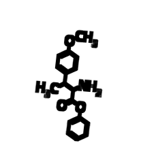 COc1ccc(C(C)C(N)C(=O)Oc2ccccc2)cc1